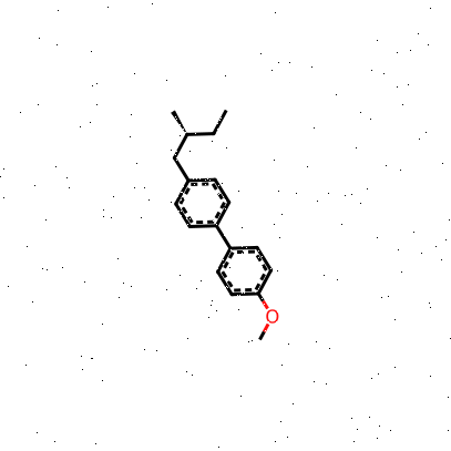 CC[C@H](C)Cc1ccc(-c2ccc(OC)cc2)cc1